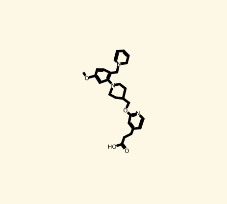 COc1ccc(CN2C=CC=CC2)c(N2CCC(COc3cc(CCC(=O)O)ccn3)CC2)c1